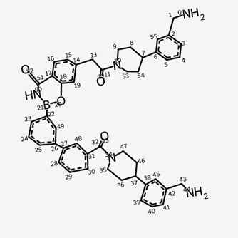 NCc1cccc(C2CCN(C(=O)Cc3ccc4c(c3)OB(c3cccc(-c5cccc(C(=O)N6CCC(c7cccc(CN)c7)CC6)c5)c3)NC4=O)CC2)c1